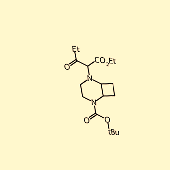 CCOC(=O)C(C(=O)CC)N1CCN(C(=O)OC(C)(C)C)C2CCC21